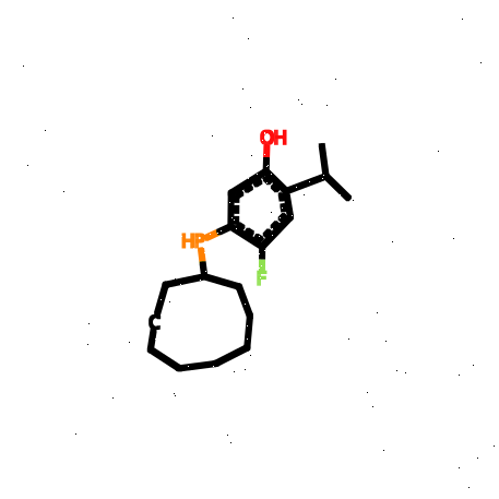 CC(C)c1cc(F)c(PC2CCCCCCCC2)cc1O